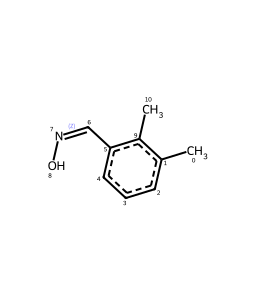 Cc1cccc(/C=N\O)c1C